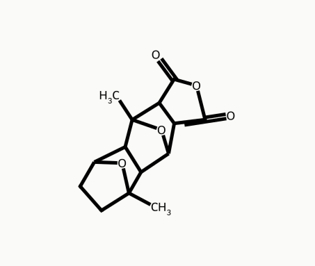 CC12CCC(O1)C1C2C2OC1(C)C1C(=O)OC(=O)C21